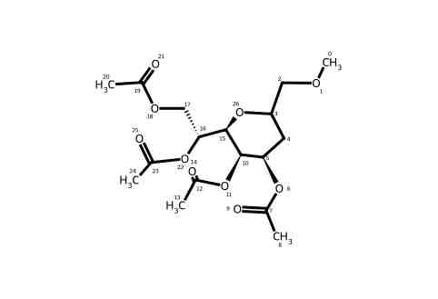 COC[C]1C[C@@H](OC(C)=O)[C@@H](OC(C)=O)[C@@H]([C@@H](COC(C)=O)OC(C)=O)O1